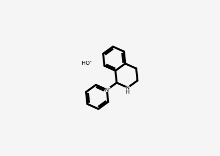 [OH-].c1cc[n+](C2NCCc3ccccc32)cc1